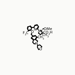 COC[C@H]1N(c2cccc(-c3cccc(C(F)(F)F)c3OCc3cc(C)c4c(c3)CCN(C3CCOCC3)C4)n2)CC[C@@]1(C)C(=O)O